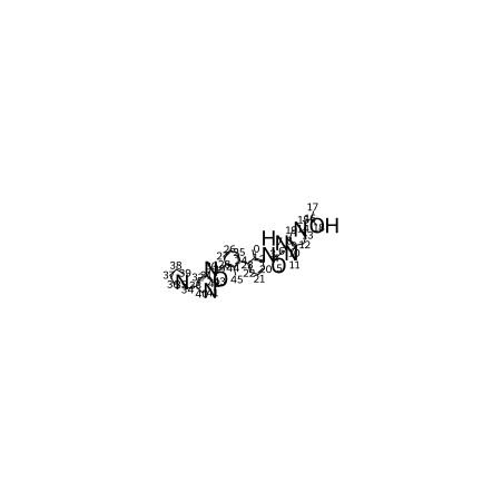 Cc1c(NC(=O)c2nc3c(n2C)CCN(CC(C)O)C3)cccc1-c1cccc(-c2nc3cc(CN4CCCC4)cnc3o2)c1C